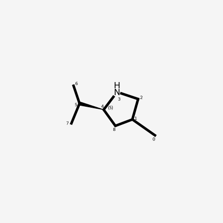 CC1CN[C@H](C(C)C)C1